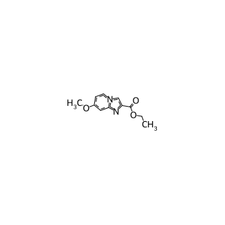 CCOC(=O)c1cn2ccc(OC)cc2n1